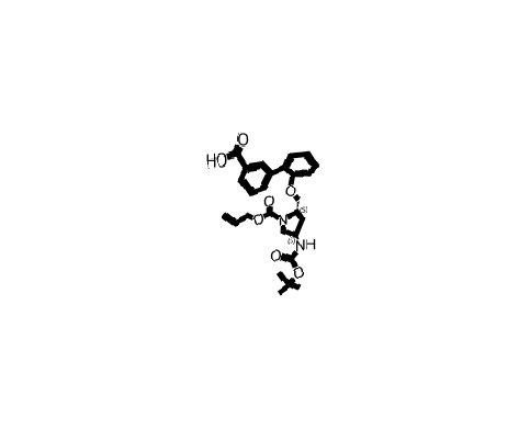 C=CCOC(=O)N1C[C@@H](NC(=O)OC(C)(C)C)C[C@H]1COc1ccccc1-c1cccc(C(=O)O)c1